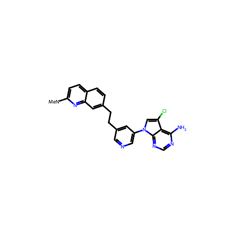 CNc1ccc2ccc(CCc3cncc(-n4cc(Cl)c5c(N)ncnc54)c3)cc2n1